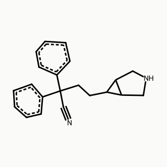 N#CC(CCC1C2CNCC12)(c1ccccc1)c1ccccc1